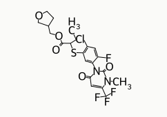 CCC(Sc1cc(-n2c(=O)cc(C(F)(F)F)n(C)c2=O)c(F)cc1Cl)C(=O)OCC1CCOC1